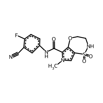 Cn1cc2c(c1C(=O)Nc1ccc(F)c(C#N)c1)OCCNS2(=O)=O